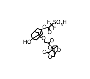 O=C(COC12CC3CC(O)(C1)CC(OC(=O)C(F)(F)S(=O)(=O)O)(C3)C2)OC1C2CC3C(=O)OC1C3O2